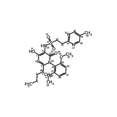 CCC[C@@H](C)c1nc(O)c(NS(=O)(=O)CCc2ncc(C)cn2)c(=O)n1-c1c(OC)cccc1OC